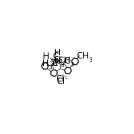 CCC1=Cc2c(-c3ccc(C)cc3C)cccc2C1c1cccc2c1[CH]([Zr+2][SiH](C)C)c1ccccc1-2.[Cl-].[Cl-]